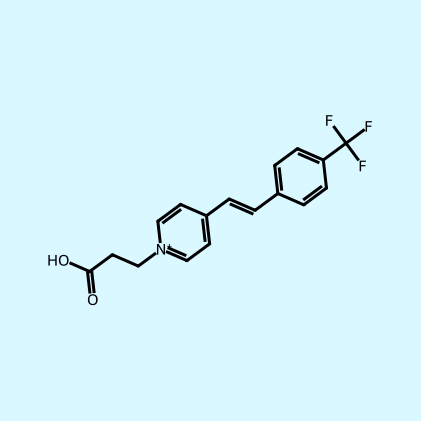 O=C(O)CC[n+]1ccc(/C=C/c2ccc(C(F)(F)F)cc2)cc1